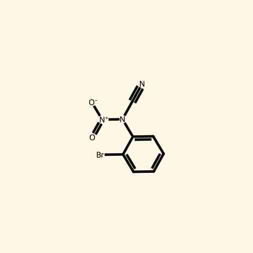 N#CN(c1ccccc1Br)[N+](=O)[O-]